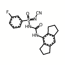 N#CN=S(=O)(NC(=O)Nc1c2c(cc3c1CCC3)CCC2)c1cccc(F)c1